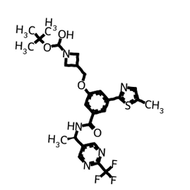 Cc1cnc(-c2cc(OCC3CN(C(O)OC(C)(C)C)C3)cc(C(=O)N[C@H](C)c3cnc(C(F)(F)F)nc3)c2)s1